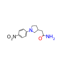 NC(=O)CC1CCN(c2ccc([N+](=O)[O-])cc2)C1